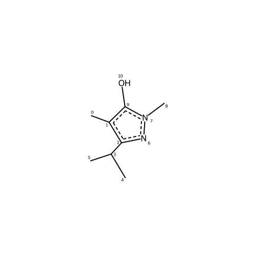 Cc1c(C(C)C)nn(C)c1O